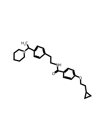 CC(c1ccc(CCNC(=O)c2ccc(OCCC3CC3)cc2)cc1)N1CCCCC1